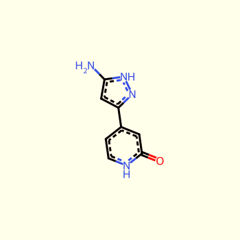 Nc1cc(-c2cc[nH]c(=O)c2)n[nH]1